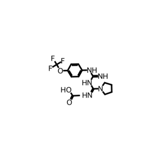 CC(=O)O.N=C(NC(=N)N1CCCC1)Nc1ccc(OC(F)(F)F)cc1